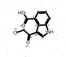 O=C(O)c1cccc2[nH]cc(C(=O)CCl)c12